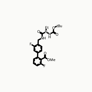 CCN(NC(=O)OC(C)(C)C)C(=O)NCc1ccc(-c2cccc(F)c2C(=O)OC)cc1F